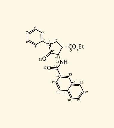 CCOC(=O)[C@H]1CN(c2ccccc2)C(=O)[C@H]1NC(=O)c1ccc2ccccc2c1